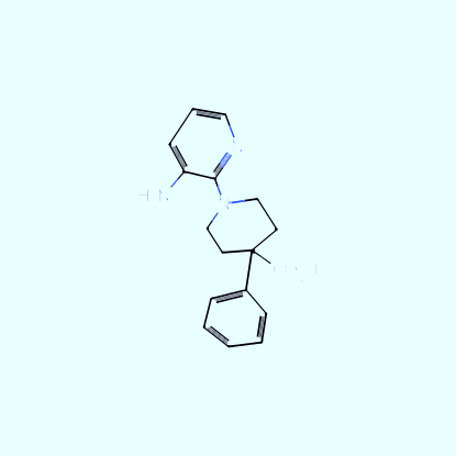 Nc1cccnc1N1CCC(C(=O)O)(c2ccccc2)CC1